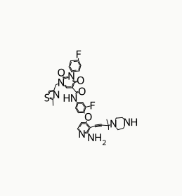 Cc1nc(Cn2cc(C(=O)Nc3ccc(Oc4ccnc(N)c4C#CC(C)(C)N4CCNCC4)c(F)c3)c(=O)n(-c3ccc(F)cc3)c2=O)cs1